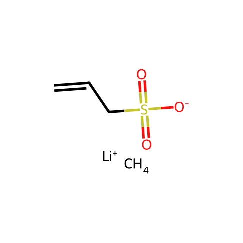 C.C=CCS(=O)(=O)[O-].[Li+]